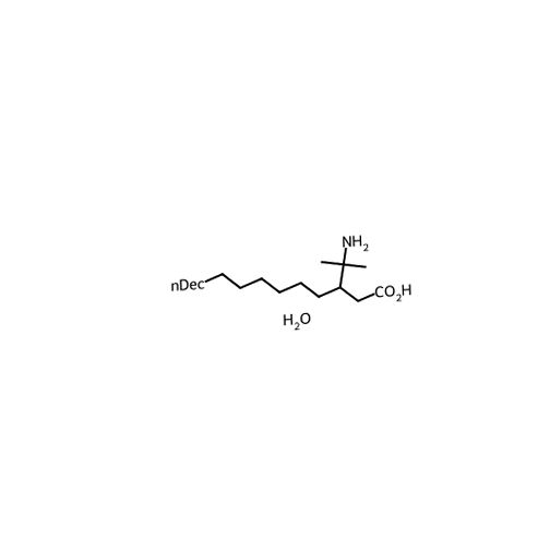 CCCCCCCCCCCCCCCCC(CC(=O)O)C(C)(C)N.O